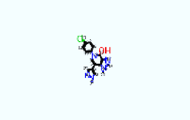 Cn1cc(C2=CN(c3ccc(Cl)cc3)C(O)c3ncn(C)c32)cn1